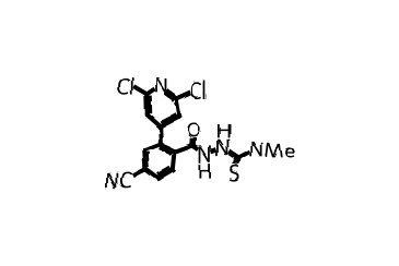 CNC(=S)NNC(=O)c1ccc(C#N)cc1-c1cc(Cl)nc(Cl)c1